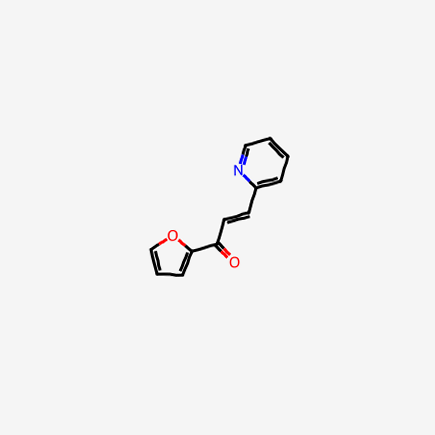 O=C(C=Cc1ccccn1)c1ccco1